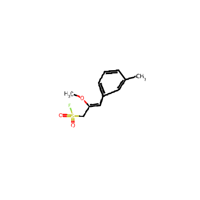 COC(=Cc1cccc(C)c1)CS(=O)(=O)F